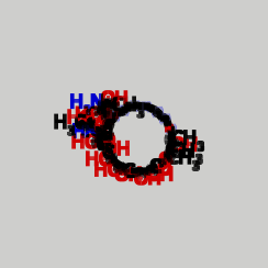 CC[C@H](CO)NC(=O)[C@H]1[C@@H]2C[C@@H](O[C@@H]3O[C@H](C)[C@@H](O)[C@H](N)[C@@H]3O)/C=C/C=C/C=C/C=C/C=C/C=C/C=C/[C@H](C)[C@@H](O)[C@@H](C)[C@H](C)OC(=O)C[C@H](O)C[C@H](O)CC[C@@H](O)[C@H](O)C[C@H](O)C[C@](O)(C[C@@H]1O)O2